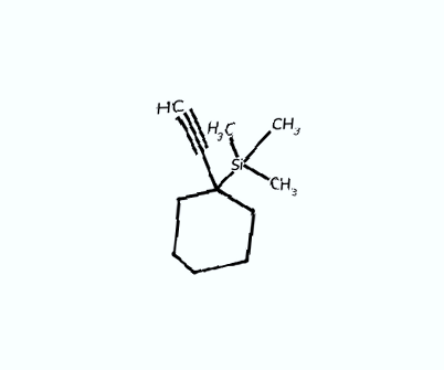 C#CC1([Si](C)(C)C)CCCCC1